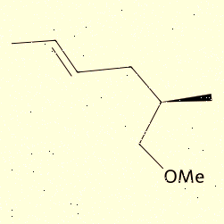 C/C=C/C[C@@H](C)COC